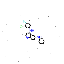 Fc1ccc(Nc2ccnc3ccc(Nc4ccccc4)cc23)cc1Cl